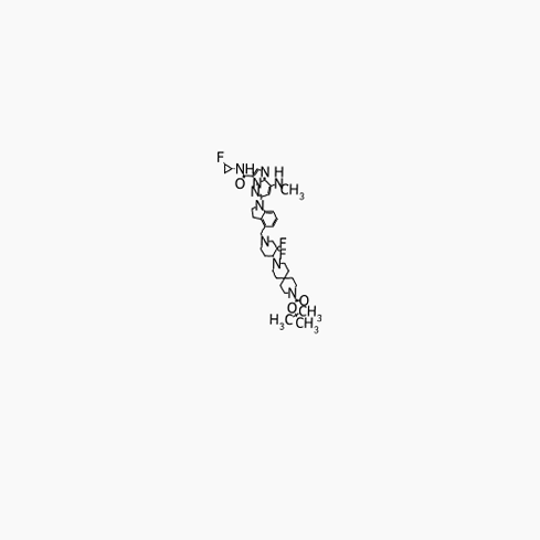 CNc1cc(N2CCc3c(CN4CC[C@@H](N5CCC6(CCN(C(=O)OC(C)(C)C)CC6)CC5)C(F)(F)C4)cccc32)nn2c(C(=O)N[C@@H]3C[C@@H]3F)cnc12